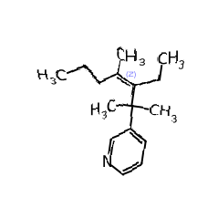 CCC/C(C)=C(/CC)C(C)(C)c1cccnc1